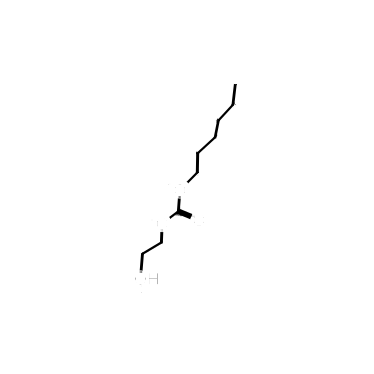 CCCCCCOC(=O)OCCO